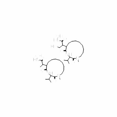 CC(C)C1NC(=O)C(C(C)C(=O)NO)CCCCCCCCN(C)C1=O.CC(C)C1NC(=O)C(C(CO)C(=O)NO)CCCCCCCCN(C)C1=O